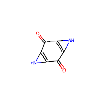 O=c1c2[nH]c2c(=O)c2[nH]c12